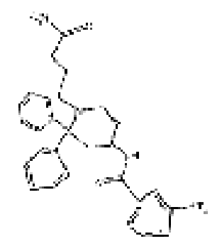 NC(=O)CCCN1CCC(NC(=O)c2cccc(C(F)(F)F)c2)CC1(c1ccccc1)c1ccccc1